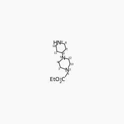 CCOC(=O)CN1CCN(C2CCNCC2)CC1